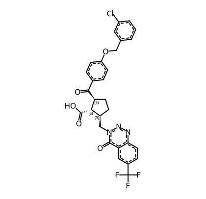 O=C(O)[C@H]1[C@H](Cn2nnc3ccc(C(F)(F)F)cc3c2=O)CC[C@@H]1C(=O)c1ccc(OCc2cccc(Cl)c2)cc1